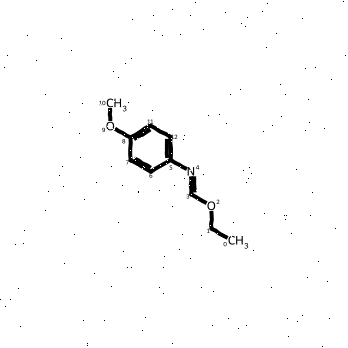 CCOC=Nc1ccc(OC)cc1